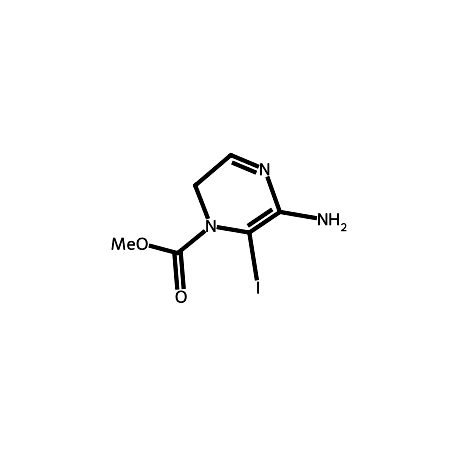 COC(=O)N1CC=NC(N)=C1I